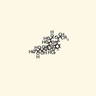 CC(C)C(=O)SCc1cccc(OCCN(CC(O)C(O)C(O)C(O)CO)CC(O)C(O)C(O)C(O)CO)c1.Cl